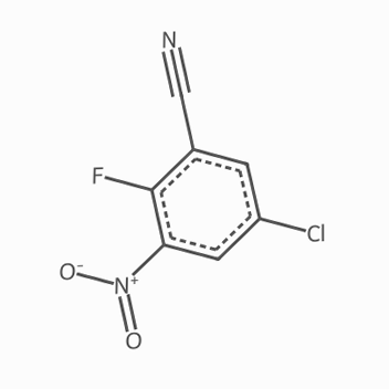 N#Cc1cc(Cl)cc([N+](=O)[O-])c1F